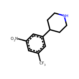 O=[N+]([O-])c1cc(C2CCNCC2)cc(C(F)(F)F)c1